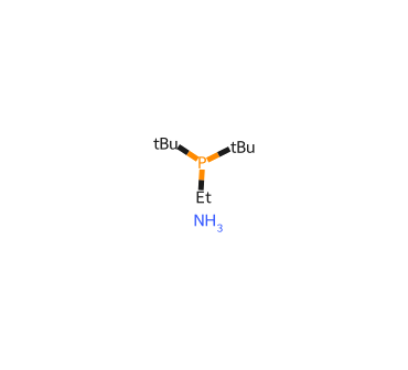 CCP(C(C)(C)C)C(C)(C)C.N